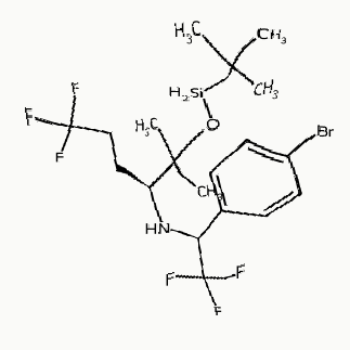 CC(C)(C)[SiH2]OC(C)(C)[C@H](CCC(F)(F)F)NC(c1ccc(Br)cc1)C(F)(F)F